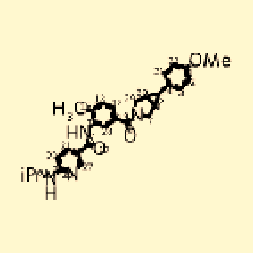 COc1ccc(C2C3CN(C(=O)c4ccc(C)c(NC(=O)c5ccc(NC(C)C)nc5)c4)CC32)cc1